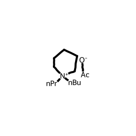 CC(=O)[O-].CCCC[N+]1(CCC)CCCCC1